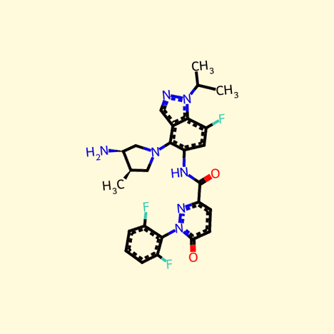 CC(C)n1ncc2c(N3C[C@@H](C)[C@@H](N)C3)c(NC(=O)c3ccc(=O)n(-c4c(F)cccc4F)n3)cc(F)c21